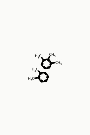 Cc1cccc(C)c1C.Cc1ccccc1C